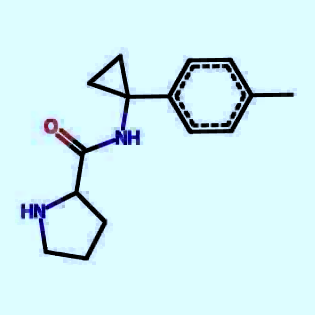 Cc1ccc(C2(NC(=O)C3CCCN3)CC2)cc1